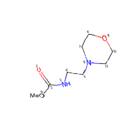 COC(=O)NCCN1CCOCC1